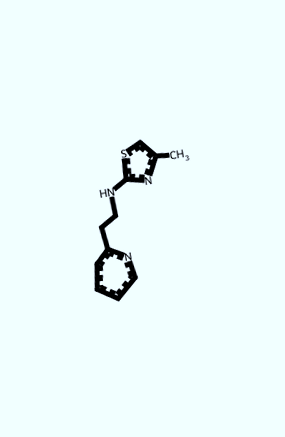 Cc1csc(NCCc2ccccn2)n1